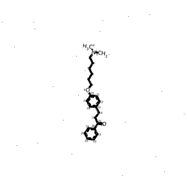 CN(C)CCCCCCOc1ccc(CCC(=O)c2ccccc2)cc1